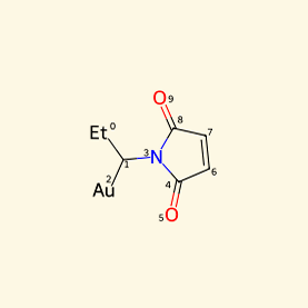 CC[CH]([Au])N1C(=O)C=CC1=O